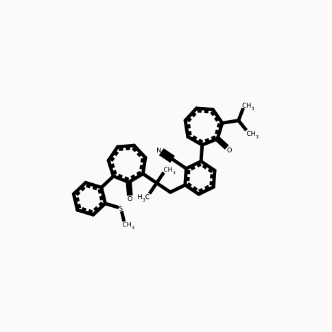 CSc1ccccc1-c1ccccc(C(C)(C)Cc2cccc(-c3ccccc(C(C)C)c3=O)c2C#N)c1=O